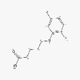 Cc1ccc(F)c(OCCCCC(=O)O)c1